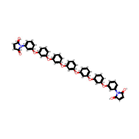 O=C1C=CC(=O)N1c1cccc(Oc2cccc(Oc3cccc(Oc4cccc(Oc5cccc(Oc6cccc(Oc7cccc(N8C(=O)C=CC8=O)c7)c6)c5)c4)c3)c2)c1